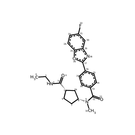 CCNC(=O)[C@H]1CC[C@@H](N(C)C(=O)c2ccc(-c3nc4cc(F)ccc4o3)cc2)C1